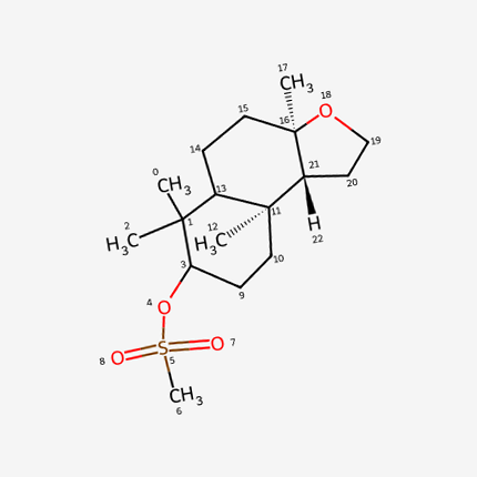 CC1(C)C(OS(C)(=O)=O)CC[C@@]2(C)C1CC[C@@]1(C)OCC[C@@H]12